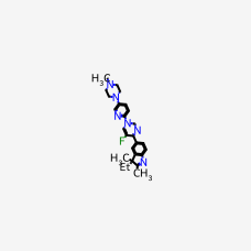 CCC1(C)C(C)=Nc2ccc(C3=NCN(c4ccc(N5CCN(C)CC5)cn4)C=C3F)cc21